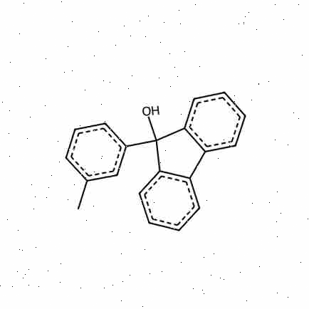 Cc1cccc(C2(O)c3ccccc3-c3ccccc32)c1